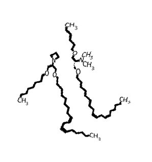 CCCCC/C=C\C/C=C\CCCCCCCCOCC(COCCCCCCCC)N1CCC1.CCCCC/C=C\C/C=C\CCCCCCCCOC[C@H](COCCCCCC)N(C)C